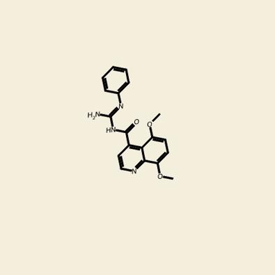 COc1ccc(OC)c2c(C(=O)NC(N)=Nc3ccccc3)ccnc12